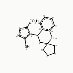 O=C(O)c1cnc(S)n1C1CC2(CCCC2)Oc2ccccc21